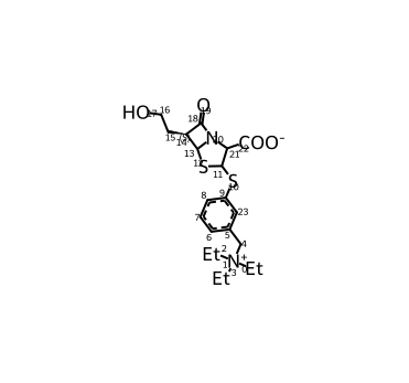 CC[N+](CC)(CC)Cc1cccc(SC2SC3[C@@H](CCO)C(=O)N3C2C(=O)[O-])c1